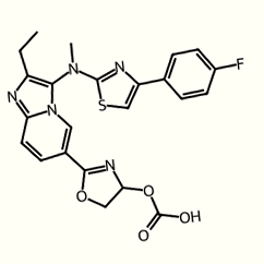 CCc1nc2ccc(C3=NC(OC(=O)O)CO3)cn2c1N(C)c1nc(-c2ccc(F)cc2)cs1